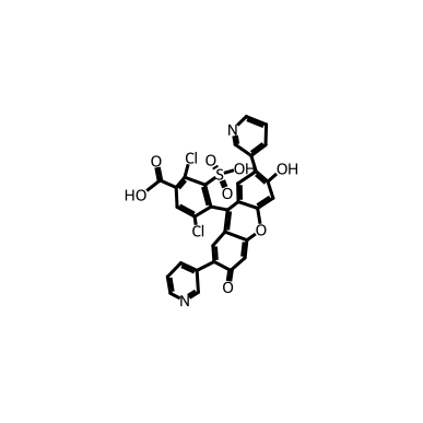 O=C(O)c1cc(Cl)c(-c2c3cc(-c4cccnc4)c(=O)cc-3oc3cc(O)c(-c4cccnc4)cc23)c(S(=O)(=O)O)c1Cl